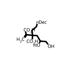 C=C(C(=O)O)C(CCCCCCCCCCCC)(CC(O)CO)C(=O)O